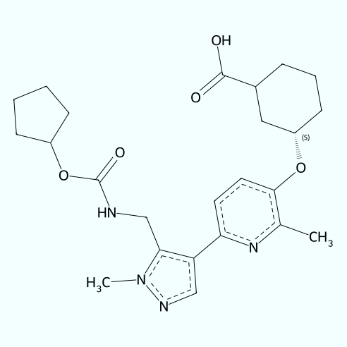 Cc1nc(-c2cnn(C)c2CNC(=O)OC2CCCC2)ccc1O[C@H]1CCCC(C(=O)O)C1